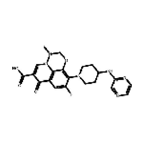 CN1COc2c(N3CCC(Nc4cnccn4)CC3)c(F)cc3c(=O)c(C(=O)O)cn1c23